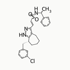 C[C@H](NS(=O)(=O)/C=C/c1n[nH]c2c1CCCC[C@@H]2Cc1cccc(Cl)c1)c1ccccc1